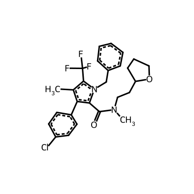 Cc1c(-c2ccc(Cl)cc2)c(C(=O)N(C)CCC2CCCO2)n(Cc2ccccc2)c1C(F)(F)F